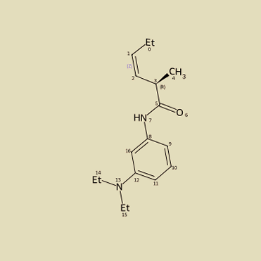 CC/C=C\[C@@H](C)C(=O)Nc1cccc(N(CC)CC)c1